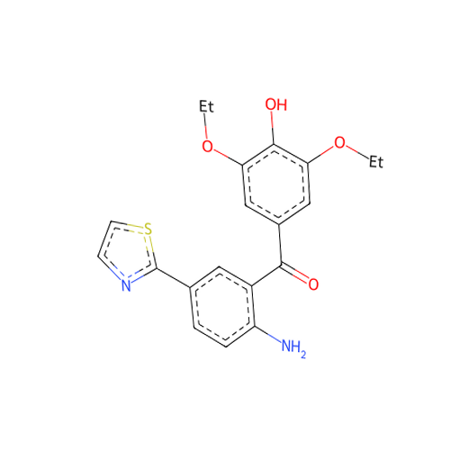 CCOc1cc(C(=O)c2cc(-c3nccs3)ccc2N)cc(OCC)c1O